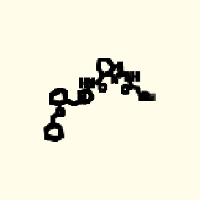 CC(C)(C)CC(=O)Nc1nc2c(s1)CCCC2C(=O)NC1CCN(Cc2ccccc2OCc2ccccc2)C1